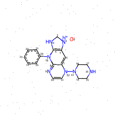 [O-][NH+]1CNC2=C1C=C1C(=NC=CN1N1CCNCC1)N2c1ccccc1